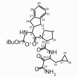 CC(C)COC(=O)NC(C(=O)N1CCC[C@H]1C(=O)NC(CC1CC1)C(=O)C(N)=O)C1Cc2ccccc2C1